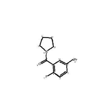 CC(C)c1ccc(F)c(C(=O)N2CCCC2)c1